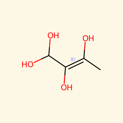 C/C(O)=C(\O)C(O)O